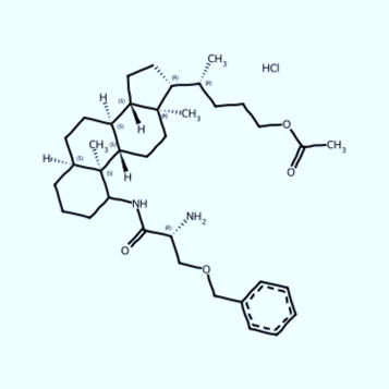 CC(=O)OCCC[C@@H](C)[C@H]1CC[C@H]2[C@@H]3CC[C@@H]4CCCC(NC(=O)[C@H](N)COCc5ccccc5)[C@]4(C)[C@H]3CC[C@]12C.Cl